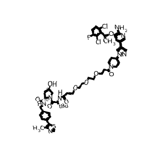 Cc1ncsc1-c1ccc(CNC(=O)[C@@H]2C[C@@H](O)CN2C(=O)C(NC(=O)CCOCCOCCOCCC(=O)N2CCC(n3cc(-c4cnc(N)c(OC(C)c5c(Cl)ccc(F)c5Cl)c4)cn3)CC2)C(C)(C)C)cc1